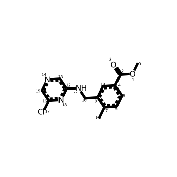 COC(=O)c1ccc(C)c(CNc2cncc(Cl)n2)c1